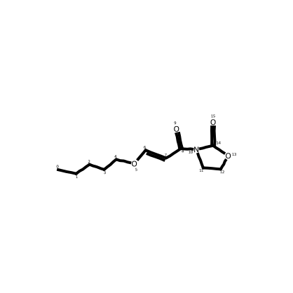 CCCCCOC=CC(=O)N1CCOC1=O